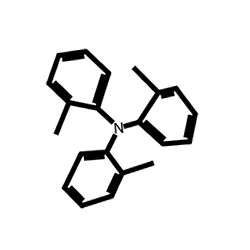 Cc1ccccc1N(c1ccccc1C)c1ccccc1C